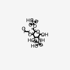 O=CCOC1C(COS(=O)(=O)O)OC(O)C(NS(=O)(=O)O)C1O